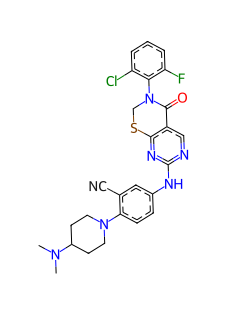 CN(C)C1CCN(c2ccc(Nc3ncc4c(n3)SCN(c3c(F)cccc3Cl)C4=O)cc2C#N)CC1